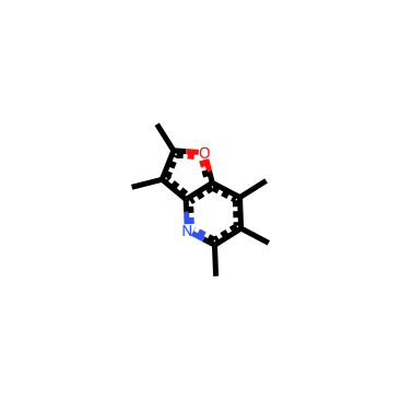 Cc1nc2c(C)c(C)oc2c(C)c1C